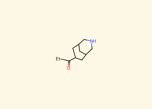 CCC(=O)C1CC2CNCC(C2)C1